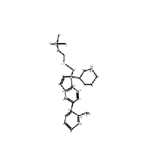 C[Si](C)(C)CCOC[N+]1(C2CCCNC2)C=Cc2nc(-c3cccnc3N)cnc21